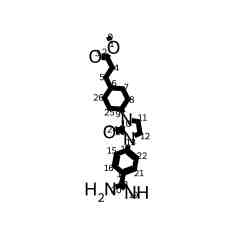 COC(=O)CCC1CCC(N2CCN(c3ccc(C(=N)N)cc3)C2=O)CC1